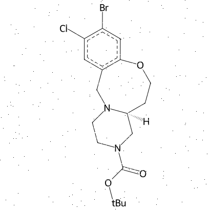 CC(C)(C)OC(=O)N1CCN2Cc3cc(Cl)c(Br)cc3OCC[C@H]2C1